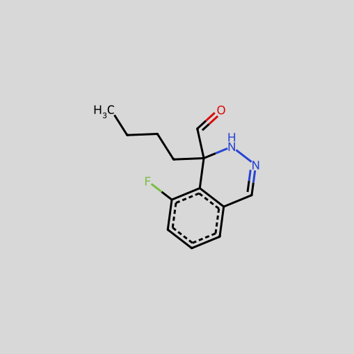 CCCCC1(C=O)NN=Cc2cccc(F)c21